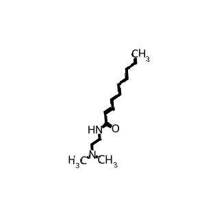 CCCCCCCC=CC(=O)NCCN(C)C